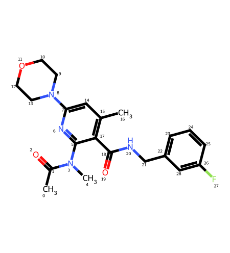 CC(=O)N(C)c1nc(N2CCOCC2)cc(C)c1C(=O)NCc1cccc(F)c1